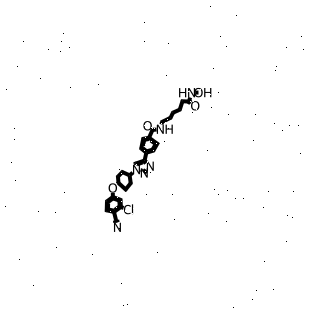 N#Cc1ccc(OC2CCC(n3cc(-c4ccc(C(=O)NCCCCCC(=O)NO)cc4)nn3)CC2)cc1Cl